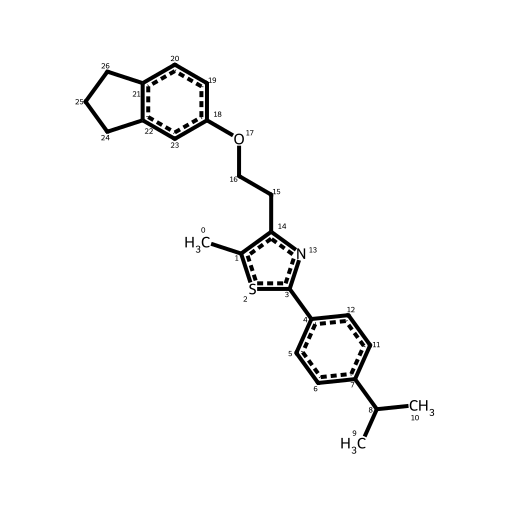 Cc1sc(-c2ccc(C(C)C)cc2)nc1CCOc1ccc2c(c1)CCC2